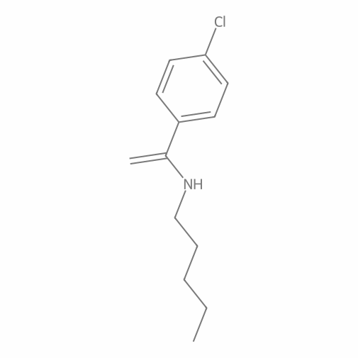 C=C(NCCCCC)c1ccc(Cl)cc1